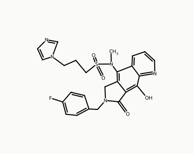 CN(c1c2c(c(O)c3ncccc13)C(=O)N(Cc1ccc(F)cc1)C2)S(=O)(=O)CCCn1ccnc1